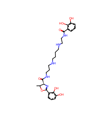 CC1OC(c2cccc(O)c2O)=N[C@@H]1C(=O)NCCCNCCCCNCCNC(=O)c1cccc(O)c1O